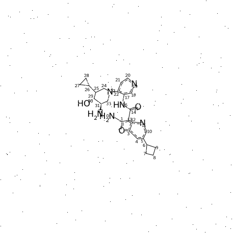 Nc1oc2cc(C3CCC3)cnc2c1C(=O)Nc1cnccc1N1CC(C2CC2)[C@@H](O)[C@H](N)C1